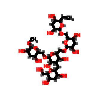 CCC1OC(OCC2OC(OCC3OC(OCC4OC(OC)C(O)CC4O)C(O)C(CC4OC(CO)C(O)CC4O)C3O)C(O)CC2O)C(O)CC1O